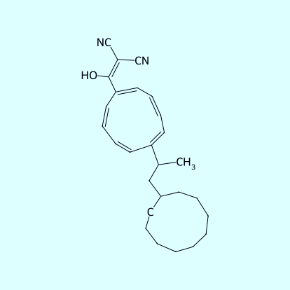 CC(CC1CCCCCCCCC1)c1ccccc(C(O)=C(C#N)C#N)cccc1